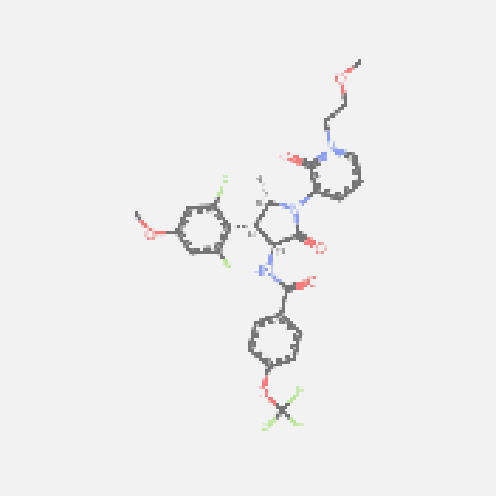 COCCn1cccc(N2C(=O)[C@@H](NC(=O)c3ccc(OC(F)(F)F)cc3)[C@H](c3c(F)cc(OC)cc3F)[C@@H]2C)c1=O